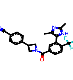 Cc1nc(C)c(-c2cc(C(=O)N3CC(c4ccc(C#N)cc4)C3)ccc2C(F)(F)F)[nH]1